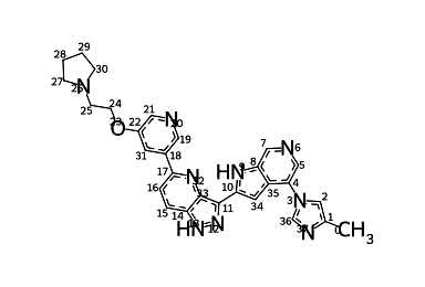 Cc1cn(-c2cncc3[nH]c(-c4n[nH]c5ccc(-c6cncc(OCCN7CCCC7)c6)nc45)cc23)cn1